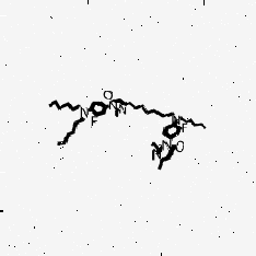 CCCCCCN(CCCCCC)c1ccc(-n2c(C)nc(CCCCCCCN(CCCCCC)c3ccc(-n4c(C)nc(C)cc4=O)cc3F)cc2=O)cc1F